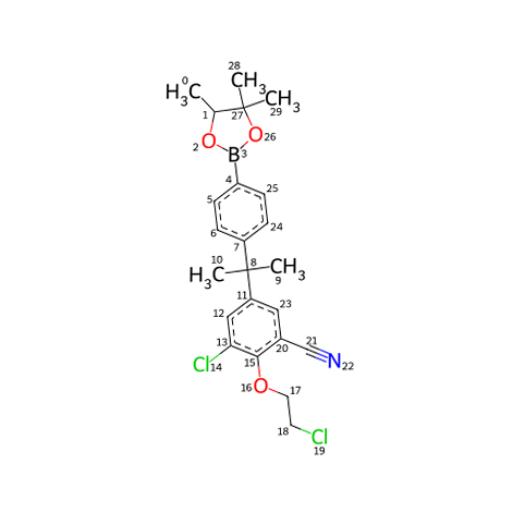 CC1OB(c2ccc(C(C)(C)c3cc(Cl)c(OCCCl)c(C#N)c3)cc2)OC1(C)C